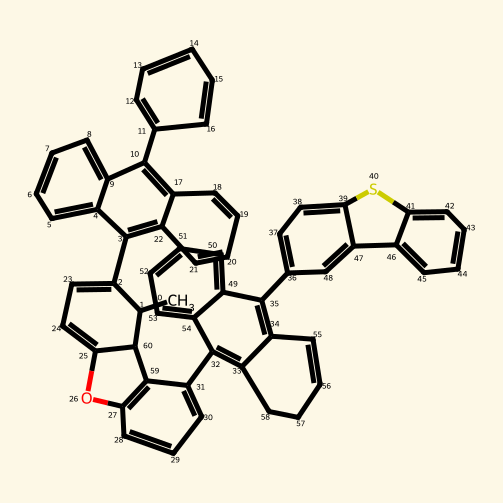 CC1C(c2c3ccccc3c(-c3ccccc3)c3ccccc23)=CC=C2Oc3cccc(-c4c5c(c(-c6ccc7sc8ccccc8c7c6)c6ccccc46)C=CCC5)c3C21